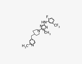 Cc1cc(CC2CCN(c3nc(Nc4cc(C(F)(F)F)ccc4F)nn3C)CC2)ccn1